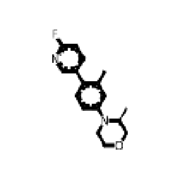 Cc1cc(N2CCOC[C@@H]2C)ccc1-c1ccc(F)nc1